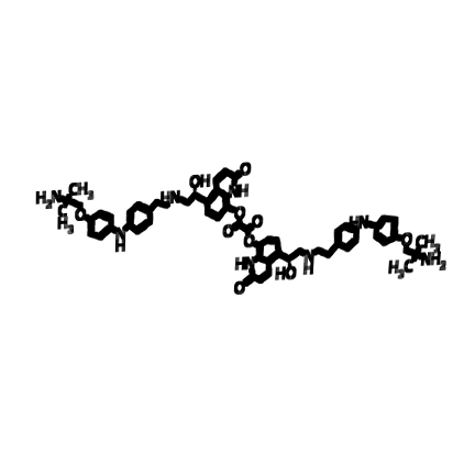 CC(C)(N)COc1ccc(Nc2ccc(CCNC[C@H](O)c3ccc(OC(=O)C(=O)Oc4ccc([C@@H](O)CNCCc5ccc(Nc6ccc(OCC(C)(C)N)cc6)cc5)c5ccc(=O)[nH]c45)c4[nH]c(=O)ccc34)cc2)cc1